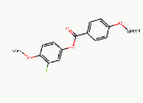 CCCCCCCOc1ccc(C(=O)Oc2ccc(OCCCCCC)c(F)c2)cc1